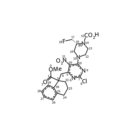 COC(=O)C1(Cc2nc(Cl)nc(N3CCN(C(=O)O)[C@@H](CF)C3)c2[N+](=O)[O-])CCCc2ccccc21